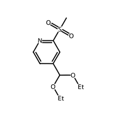 CCOC(OCC)c1ccnc(S(C)(=O)=O)c1